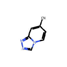 N#Cc1ccn2cnnc2c1